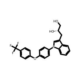 OC[C@@H](O)Cc1cn(-c2ccc(Oc3ccc(C(F)(F)F)cc3)cc2)c2ccccc12